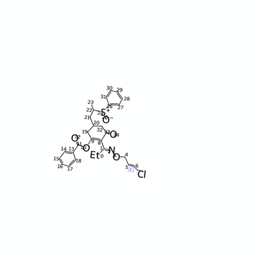 CCC(=NOC/C=C/Cl)C1=C(OC(=O)c2ccccc2)CC(CC(C)[S+]([O-])c2ccccc2)CC1=O